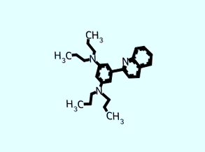 CCCN(CCC)c1cc(-c2ccc3ccccc3n2)cc(N(CCC)CCC)c1